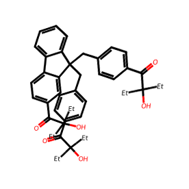 CCC(O)(CC)C(=O)c1ccc(CC2(Cc3ccc(C(=O)C(O)(CC)CC)cc3)c3ccccc3-c3ccc(C(=O)C(O)(CC)CC)cc32)cc1